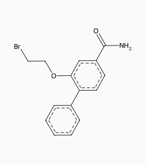 NC(=O)c1ccc(-c2ccccc2)c(OCCBr)c1